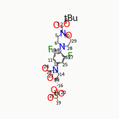 CC(C)(C)OC(=O)N1CCN(c2c(F)cc(N3C[C@H](COS(C)(=O)=O)OC3=O)cc2F)CCO1